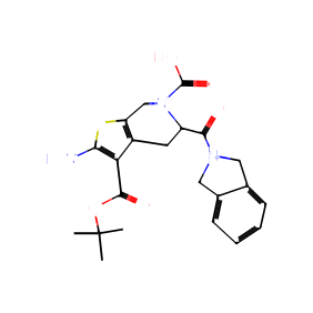 CC(C)(C)OC(=O)c1c(N)sc2c1CC(C(=O)N1Cc3ccccc3C1)N(C(=O)O)C2